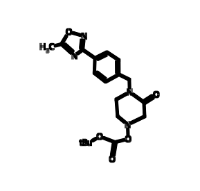 Cc1nc(-c2ccc(CN3CCN(OC(=O)OC(C)(C)C)CC3=O)cc2)no1